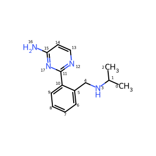 CC(C)NCc1ccccc1-c1nccc(N)n1